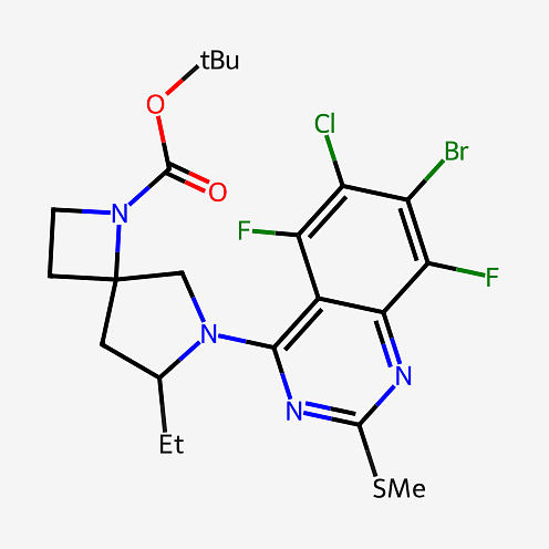 CCC1CC2(CCN2C(=O)OC(C)(C)C)CN1c1nc(SC)nc2c(F)c(Br)c(Cl)c(F)c12